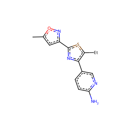 CCc1sc(-c2cc(C)on2)nc1-c1ccc(N)nc1